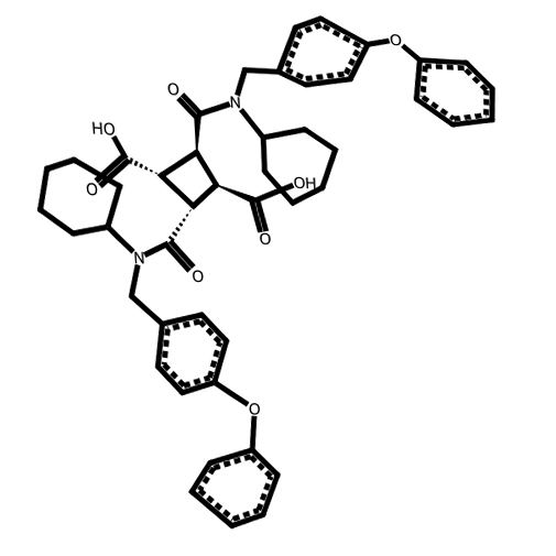 O=C(O)[C@H]1[C@H](C(=O)N(Cc2ccc(Oc3ccccc3)cc2)C2CCCCC2)[C@H](C(=O)O)[C@H]1C(=O)N(Cc1ccc(Oc2ccccc2)cc1)C1CCCCC1